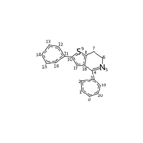 c1ccc(C2=NCCc3sc(-c4ccccc4)cc32)cc1